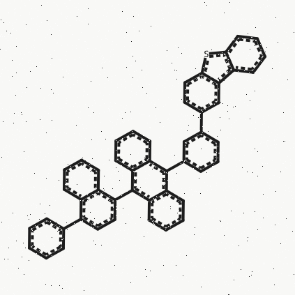 c1ccc(-c2ccc(-c3c4ccccc4c(-c4cccc(-c5ccc6sc7ccccc7c6c5)c4)c4ccccc34)c3ccccc23)cc1